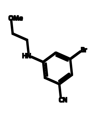 COCCNc1cc(Br)cc(C#N)c1